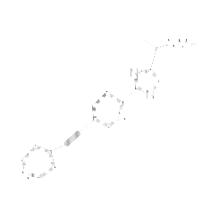 CNC(C)c1nc(-c2ccc(C#Cc3ccncc3)cn2)no1